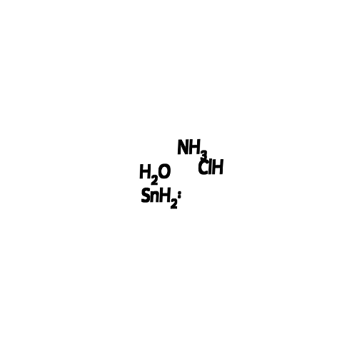 Cl.N.O.[SnH2]